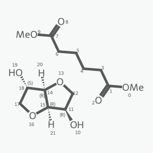 COC(=O)CCCCC(=O)OC.O[C@@H]1CO[C@H]2[C@@H]1OC[C@@H]2O